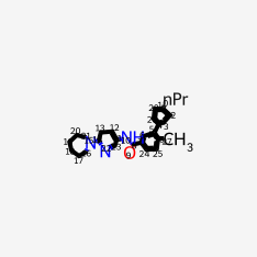 CCCc1ccc(-c2cc(C(=O)NC3=CCC(N4CCCCCC4)N=C3)ccc2C)cc1